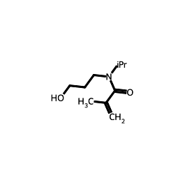 C=C(C)C(=O)N(CCCO)C(C)C